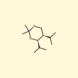 CC(C)[C@H]1OC(C)(C)OC[C@H]1C(C)C